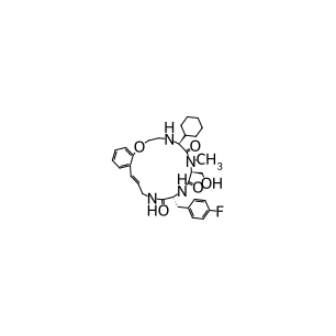 CN1C(=O)[C@H](C2CCCCC2)NCCOc2ccccc2/C=C/CNC(=O)[C@@H](Cc2ccc(F)cc2)NC(=O)[C@@H]1CO